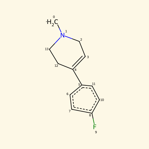 [CH2]N1CC=C(c2ccc(F)cc2)CC1